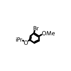 COc1ccc(OC(C)C)cc1Br